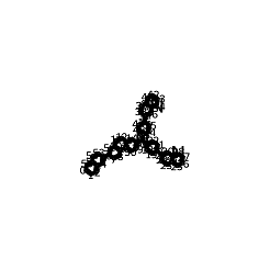 c1ccc2cc(-c3ccc4c(ccc5cc(N(c6ccc(-c7ccc8cccnc8c7)cc6)c6ccc(-c7ccc8cccnc8c7)cc6)ccc54)c3)ccc2c1